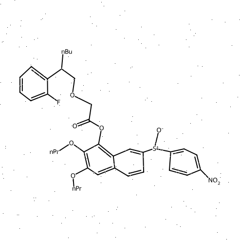 CCCCC(COCC(=O)Oc1c(OCCC)c(OCCC)cc2ccc([S+]([O-])c3ccc([N+](=O)[O-])cc3)cc12)c1ccccc1F